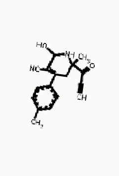 C#CC(=O)C1(C)CC(c2ccc(C)cc2)=C(C#N)C(O)N1